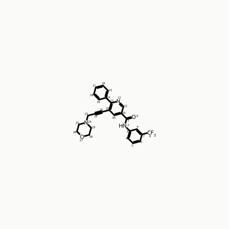 O=C(Nc1cccc(C(F)(F)F)c1)c1cnc(-c2ccccc2)c(C#CCN2CCOCC2)c1